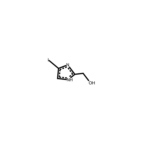 OCc1nc(I)c[nH]1